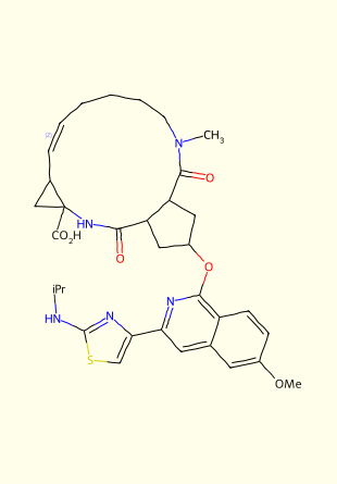 COc1ccc2c(OC3CC4C(=O)NC5(C(=O)O)CC5/C=C\CCCCN(C)C(=O)C4C3)nc(-c3csc(NC(C)C)n3)cc2c1